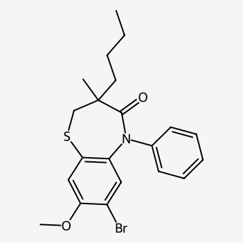 CCCCC1(C)CSc2cc(OC)c(Br)cc2N(c2ccccc2)C1=O